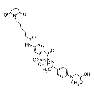 C/C(=N\NC(=O)c1ccc(NC(=O)CCCCCN2C(=O)C=CC2=O)cc1S(=O)(=O)O)c1ccc(N(C)CC(=O)O)cc1